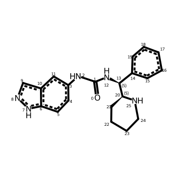 O=C(Nc1ccc2[nH]ncc2c1)N[C@@H](c1ccccc1)[C@@H]1CCCCN1